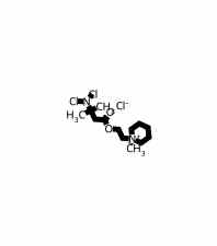 CC(C)(CC(=O)OCC[N+]1(C)CCCCC1)N(Cl)Cl.[Cl-]